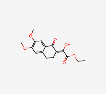 CCOC(=O)/C(O)=C1\CCc2cc(OC)c(OC)cc2C1=O